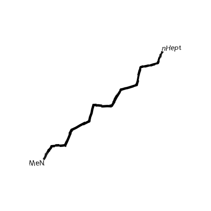 CCCCCCCCCCCCCCCCCNC